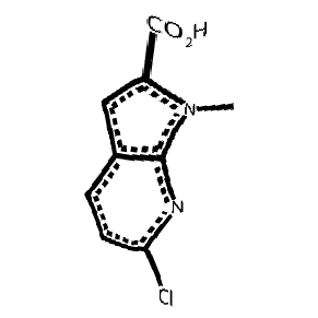 Cn1c(C(=O)O)cc2ccc(Cl)nc21